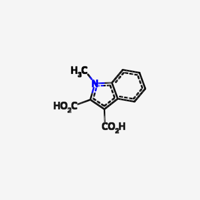 Cn1c(C(=O)O)c(C(=O)O)c2ccccc21